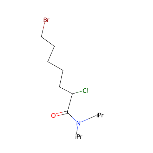 CC(C)N(C(=O)C(Cl)CCCCCBr)C(C)C